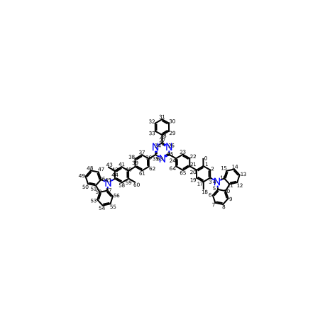 Cc1cc(-n2c3ccccc3c3ccccc32)c(C)cc1-c1ccc(-c2nc(-c3ccccc3)nc(-c3ccc(-c4cc(C)c(-n5c6ccccc6c6ccccc65)cc4C)cc3)n2)cc1